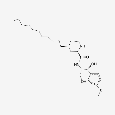 CCCCCCCCCCC[C@H]1CCN[C@@H](C(=O)N[C@@H](CO)[C@@H](O)c2ccc(SC)cc2)C1